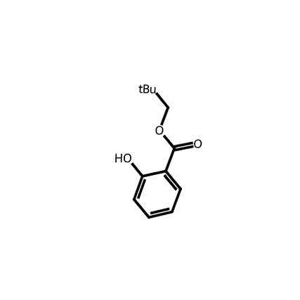 CC(C)(C)COC(=O)c1ccccc1O